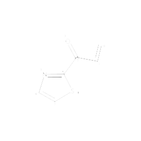 C=CC(=O)c1nccs1